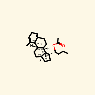 CCCC(OC(C)=O)[C@@H]1CC[C@@]2(C)CC[C@H]3[C@@H](CCC4=CCC=C(C)[C@@]43C)[C@H]12